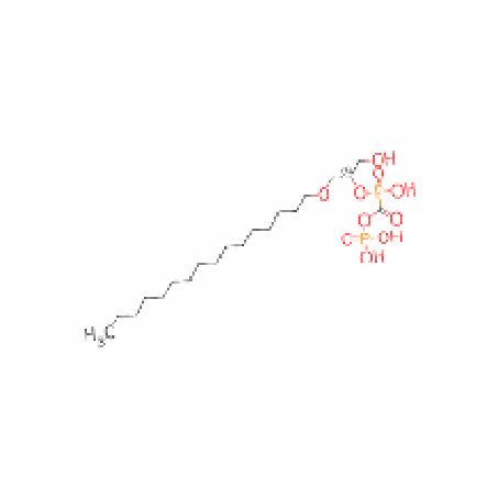 CCCCCCCCCCCCCCCCOC[C@H](CO)OP(=O)(O)C(=O)OP(=O)(O)O